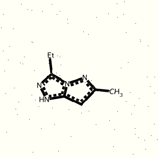 CCc1n[nH]c2cc(C)nn12